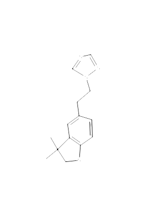 CC1(C)CNc2ccc(CCn3cncn3)cc21